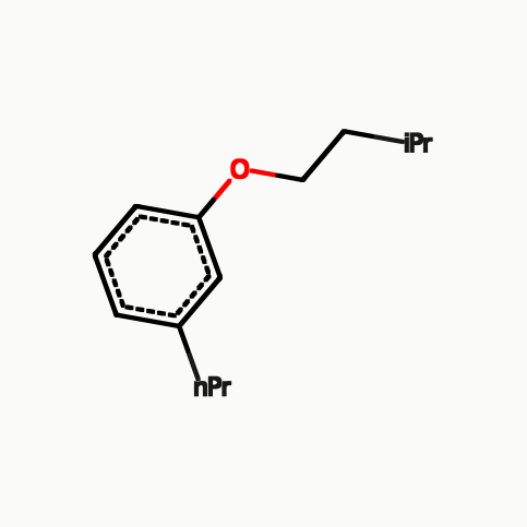 CCCc1cccc(OCCC(C)C)c1